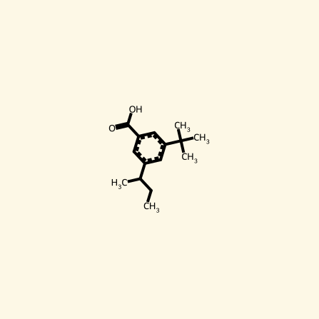 CCC(C)c1cc(C(=O)O)cc(C(C)(C)C)c1